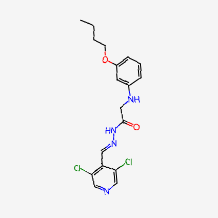 CCCCOc1cccc(NCC(=O)N/N=C/c2c(Cl)cncc2Cl)c1